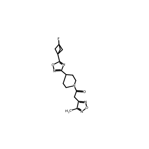 Cc1nonc1CC(=O)N1CCC(c2noc(C34CC(F)(C3)C4)n2)CC1